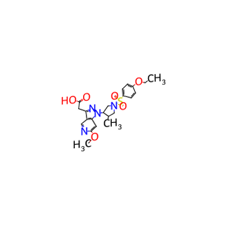 CCOc1ccc(S(=O)(=O)N2C[C@@H](C)[C@@H](n3nc(CC(=O)O)c4cnc(OC)cc43)C2)cc1